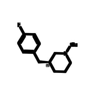 CC(C)(C)N1CCC[C@@H](Cc2ccc(F)cc2)C1